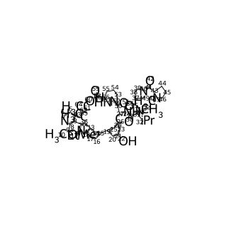 CCn1c(-c2cccnc2[C@H](C)OC)c2c3cc(ccc31)-c1cc(O)cc(c1)C[C@H](NC(=O)C(C(C)C)N(C)C(=O)[C@H]1CCN(C(=O)[C@H]3CCCN3C)C1)C(=O)N1CCC[C@H](N1)C(=O)OCC(C)(C)C2